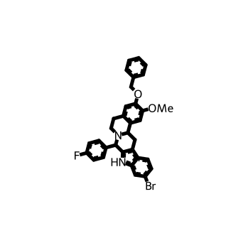 COc1cc2c(cc1OCc1ccccc1)CCN1C2Cc2c([nH]c3cc(Br)ccc23)C1c1ccc(F)cc1